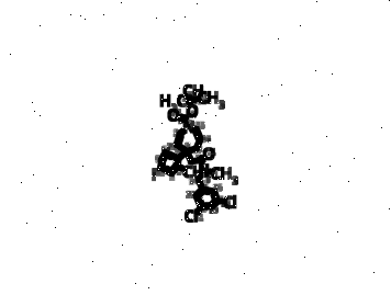 Cc1cc(F)ccc1C1(CC(=O)N(C)Cc2cc(Cl)cc(Cl)c2)C=CN(C(=O)OC(C)(C)C)C=CC1